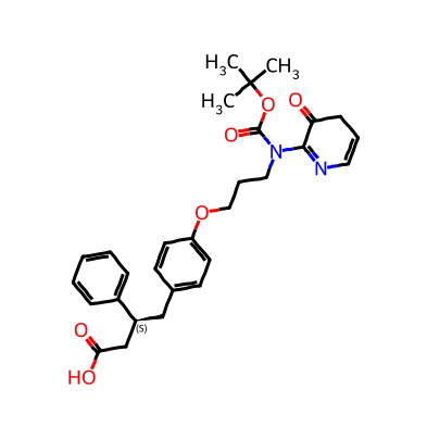 CC(C)(C)OC(=O)N(CCCOc1ccc(C[C@@H](CC(=O)O)c2ccccc2)cc1)C1=NC=CCC1=O